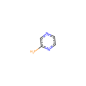 Pc1cnccn1